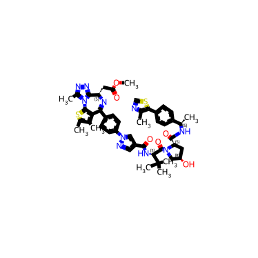 COC(=O)C[C@@H]1N=C(c2ccc(-n3cc(C(=O)N[C@H](C(=O)N4C[C@H](O)C[C@H]4C(=O)N[C@@H](C)c4ccc(-c5scnc5C)cc4)C(C)(C)C)cn3)cc2)c2c(sc(C)c2C)-n2c(C)nnc21